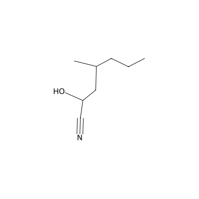 CCCC(C)CC(O)C#N